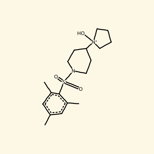 Cc1cc(C)c(S(=O)(=O)N2CCC([N+]3(O)CCCC3)CC2)c(C)c1